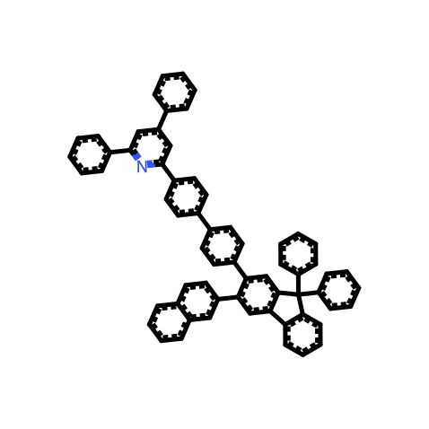 c1ccc(-c2cc(-c3ccccc3)nc(-c3ccc(-c4ccc(-c5cc6c(cc5-c5ccc7ccccc7c5)-c5ccccc5C6(c5ccccc5)c5ccccc5)cc4)cc3)c2)cc1